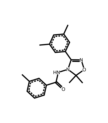 Cc1cccc(C(=O)NN2C(c3cc(C)cc(C)c3)=NOC2(C)C)c1